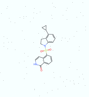 O=c1[nH]ccc2c(S(=O)(=O)N3CCc4c(C5CC5)cccc43)cccc12